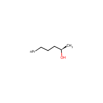 CCCCCC[C@@H](C)O